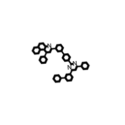 c1ccc(-c2cccc(-c3cc(-c4ccccc4)nc(-c4ccc(-c5cccc(-c6cc(-c7ccccc7)c7c(ccc8ccccc87)n6)c5)cc4)n3)c2)cc1